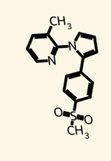 Cc1cccnc1-n1cccc1-c1ccc(S(C)(=O)=O)cc1